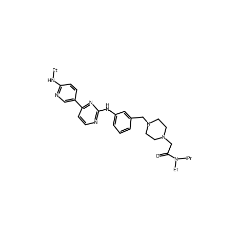 CCNc1ccc(-c2ccnc(Nc3cccc(CN4CCN(CC(=O)N(CC)C(C)C)CC4)c3)n2)cn1